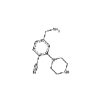 N#Cc1c[c]c(CN)cc1N1CCNCC1